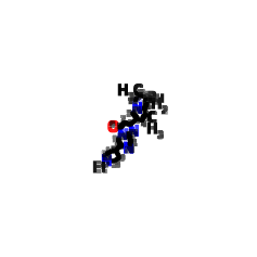 C=C1C(C)=CC(c2cc(=O)n3cc(C4CCN(CC)CC4)ncc3n2)=CN1/C=C(/C)C(C)CC